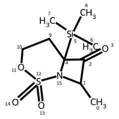 CC1C(=O)C2([Si](C)(C)C)CCOS(=O)(=O)N12